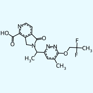 Cc1cc(C(C)N2Cc3c(ccnc3C(=O)O)C2=O)nnc1OCC(C)(F)F